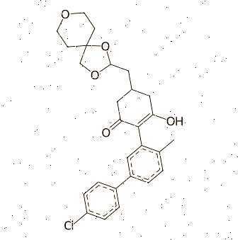 Cc1ccc(-c2ccc(Cl)cc2)cc1C1=C(O)CC(CC2OCC3(CCOCC3)O2)CC1=O